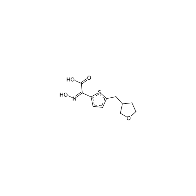 O=C(O)C(=NO)c1ccc(CC2CCOC2)s1